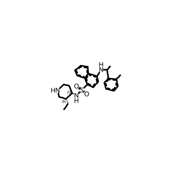 CC[C@@H]1CNCC[C@@H]1NS(=O)(=O)c1ccc(NC(C)c2ccccc2C)c2ccccc12